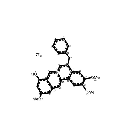 COc1cc(O)c2c[n+]3cc(Cc4ccccc4)c4cc(OC)c(OC)cc4c3cc2c1.[Cl-]